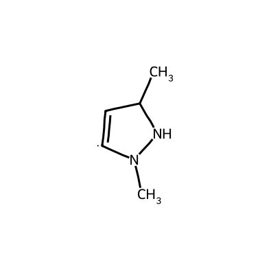 CC1C=[C]N(C)N1